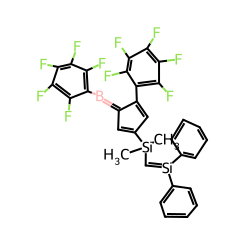 C[Si](C)(C=[Si](c1ccccc1)c1ccccc1)C1=CC(=Bc2c(F)c(F)c(F)c(F)c2F)C(c2c(F)c(F)c(F)c(F)c2F)=C1